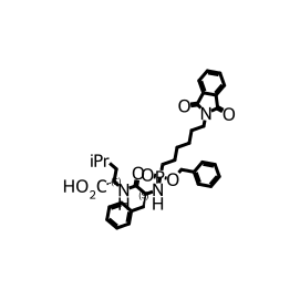 CC(C)C[C@H](NC(=O)[C@H](Cc1ccccc1)NP(=O)(CCCCCCN1C(=O)c2ccccc2C1=O)OCc1ccccc1)C(=O)O